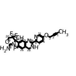 CC#CCOc1ccc(C2=Nc3cc([C@@]4(C)N=C(N)OCC4(F)F)c(F)cc3CN2)nc1